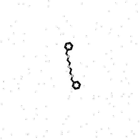 c1ccc(COCCOCCOCc2ccccc2)cc1